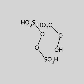 O=C(O)OO.O=S(=O)(O)OOS(=O)(=O)O